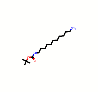 CC(C)(C)OC(=O)NCCCCCCCCCCCN